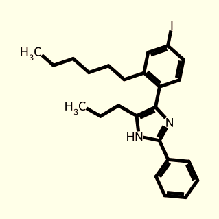 CCCCCCc1cc(I)ccc1-c1nc(-c2ccccc2)[nH]c1CCC